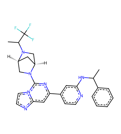 CC(Nc1cc(-c2cc3nccn3c(N3C[C@@H]4C[C@H]3CN4C(C)C(F)(F)F)n2)ccn1)c1ccccc1